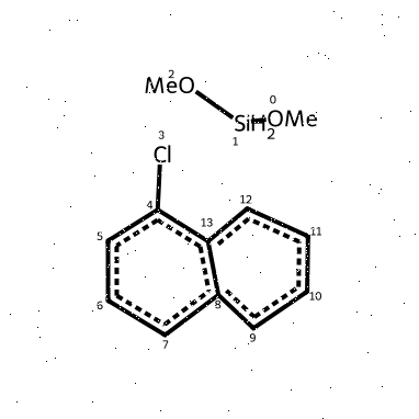 CO[SiH2]OC.Clc1cccc2ccccc12